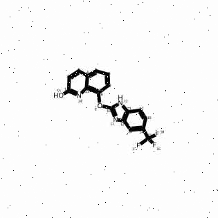 Oc1ccc2cccc(Oc3nc4cc(C(F)(F)F)ccc4[nH]3)c2n1